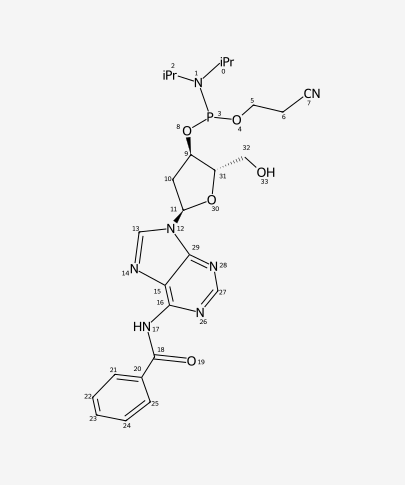 CC(C)N(C(C)C)P(OCCC#N)O[C@@H]1C[C@H](n2cnc3c(NC(=O)c4ccccc4)ncnc32)O[C@H]1CO